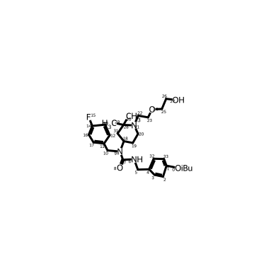 CC(C)COc1ccc(CNC(=O)N(Cc2ccc(F)cc2)C2CCN(CCOCCO)C(C)(C)C2)cc1